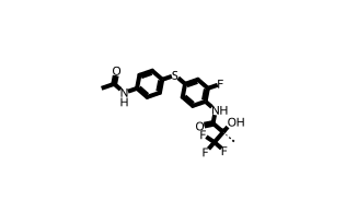 CC(=O)Nc1ccc(Sc2ccc(NC(=O)[C@@](C)(O)C(F)(F)F)c(F)c2)cc1